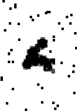 Cc1n[nH]c2ccc(C(O)c3cc4c(OCc5ccccc5)cccc4n3S(=O)(=O)c3ccccc3)cc12